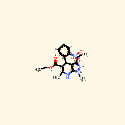 CCOC(=O)C1=C(C)Nc2c(c(CC)nn2C)C1c1ccccc1[N+](=O)[O-]